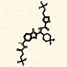 C[C@@H](NC(=O)CCC(F)(F)F)c1ccc2[nH]c([C@@H](NC(=O)c3cc(CCC(F)(F)F)no3)C3CCC(F)(F)CC3)nc2c1